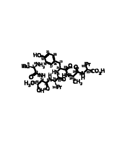 CC[C@H](C)[C@H](N)C(=O)N[C@H](C(=O)N[C@H](C(=O)N[C@@H](Cc1ccc(O)cc1)C(=O)N[C@@H](C)C(=O)N[C@H](C(=O)O)C(C)C)C(C)C)[C@@H](C)O